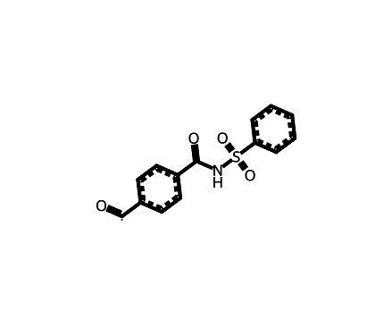 O=[C]c1ccc(C(=O)NS(=O)(=O)c2ccccc2)cc1